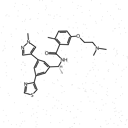 Cc1ccc(OCCN(C)C)cc1C(=O)N[C@H](C)c1cc(-c2cnn(C)c2)cc(-c2cscn2)c1